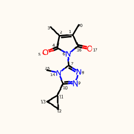 CC1=C(C)C(=O)N(c2nnc(C3CC3)n2C)C1=O